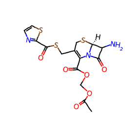 CC(=O)OCOC(=O)C1=C(CSC(=O)c2nccs2)CS[C@H]2C(N)C(=O)N12